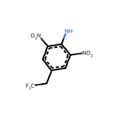 [NH]c1c([N+](=O)[O-])cc(CC(F)(F)F)cc1[N+](=O)[O-]